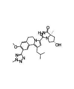 COc1cc2c(cc1-c1nnn(C)n1)-c1c(CC(C)C)cc(C(=O)N3C[C@@H](O)C[C@]3(C)C(N)=O)n1CC2